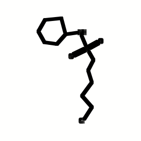 O=S(=O)(CCCCCCl)NC1CCCCC1